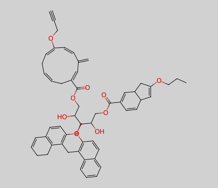 C#CCOC1=C/C/C=C\C/C(C(=O)OCC(O)COc2ccc3ccccc3c2Cc2c(OCC(O)COC(=O)C3=CC4CC(OCCC)=CC4C=C3)ccc3c2CCC=C3)=C\C(=C)/C=C\1